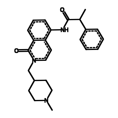 CC(C(=O)Nc1cccc2c(=O)n(CC3CCN(C)CC3)ccc12)c1ccccc1